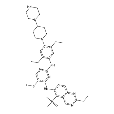 C=P(C)(C)c1c(Nc2nc(Nc3cc(CC)c(N4CCC(N5CCNCC5)CC4)cc3CC)ncc2SF)ccc2nc(CC)ncc12